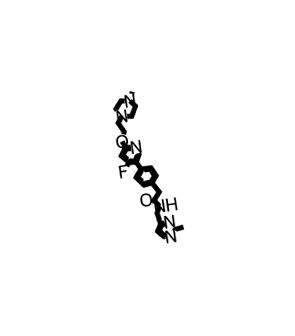 Cc1nccc(CNC(=O)Cc2ccc(-c3cnc(OCCN4CCN(C)CC4)cc3F)cc2)n1